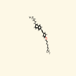 CCCCCCCOc1ccc(C#Cc2ccc3cc(CCCCC)ccc3c2)cc1